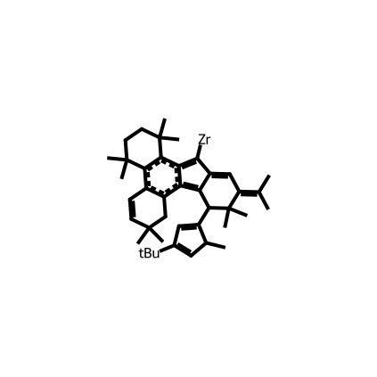 CC(C)=C1C=C2C(=c3c4c(c5c(c3=[C]2[Zr])C(C)(C)CCC5(C)C)C=CC(C)(C)C4)C(C2=CC(C(C)(C)C)=CC2C)C1(C)C